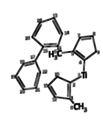 CC1=[C]([Ti][C]2=C(C)C=CC2)CC=C1.c1ccc(-c2ccccc2)cc1